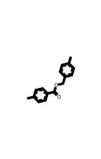 Cc1ccc(COC(=O)c2ccc(C)cc2)cc1